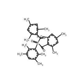 Cc1cc(C)c(C(=O)P(=O)(C(=O)c2c(C)cc(C)cc2C)c2c(C)c(C)cc(C)c2C)c(C)c1